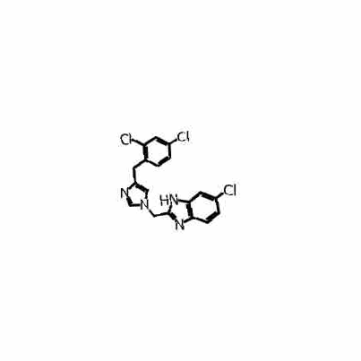 Clc1ccc(Cc2cn(Cc3nc4ccc(Cl)cc4[nH]3)cn2)c(Cl)c1